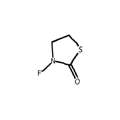 O=C1SCCN1F